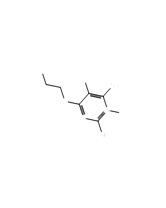 Nc1nc(OCCO)c(O)c(N)[n+]1[O-]